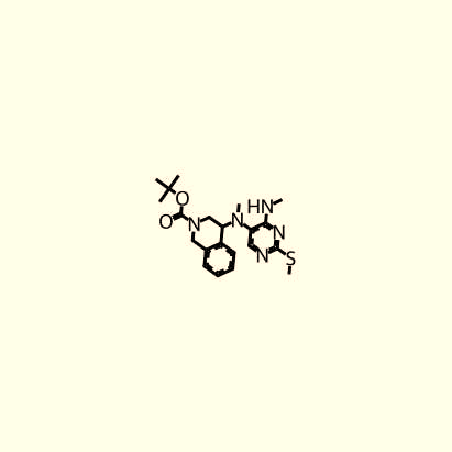 CNc1nc(SC)ncc1N(C)C1CN(C(=O)OC(C)(C)C)Cc2ccccc21